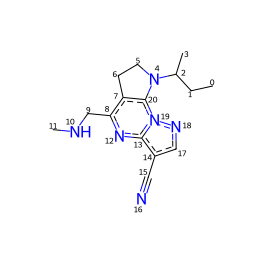 CCC(C)N1CCc2c(CNC)nc3c(C#N)cnn3c21